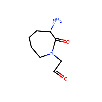 N[C@H]1CCCCN(CC=O)C1=O